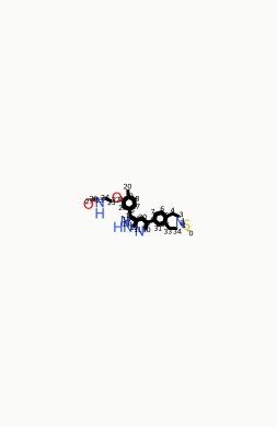 CSN1CCc2ccc(-c3cnc4[nH]nc(-c5ccc(C)c(OCCNC=O)c5)c4c3)cc2CC1